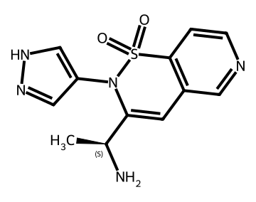 C[C@H](N)C1=Cc2cnccc2S(=O)(=O)N1c1cn[nH]c1